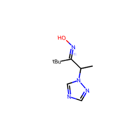 CC(/C(=N/O)C(C)(C)C)n1cncn1